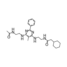 CC(=O)NCCNc1nc(-c2ccccc2)nc(NCCNC(=O)CC2CCCCC2)c1C